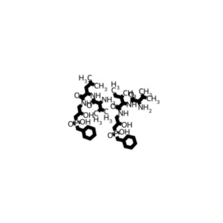 CC(C)CC(NC(=O)C(N)C(C)C)C(=O)NCC(O)CP(=O)(O)CC1CCCCC1.CCC(C)C(NC(=O)C(N)C(C)C)C(=O)NCC(O)CP(=O)(O)CC1CCCCC1